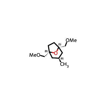 COC[C@@]12CC[C@@](COC)(C[C@@H](C)C1)O2